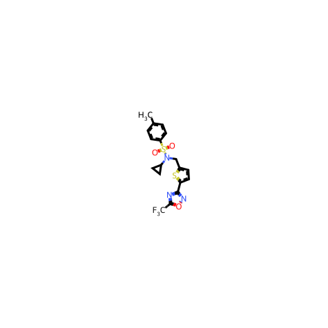 Cc1ccc(S(=O)(=O)N(Cc2ccc(-c3noc(C(F)(F)F)n3)s2)C2CC2)cc1